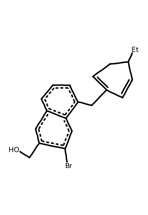 CCC1C=CC(Cc2cccc3cc(CO)c(Br)cc23)=CC1